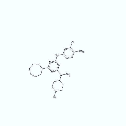 COc1ccc(Nc2nc(C3CCCCCC3)nc(N(N)C3CCC(S)CC3)n2)cc1Cl